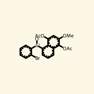 COc1cc(OC(C)=O)c2c([S+]([O-])c3ccccc3Br)cccc2c1OC(C)=O